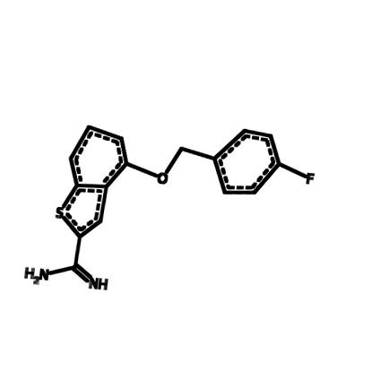 N=C(N)c1cc2c(OCc3ccc(F)cc3)cccc2s1